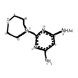 CC(=O)Nc1cc(N)nc(N2CCOCC2)n1